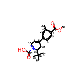 COC(=O)c1ccc(C2=CCN(C(=O)O)C(C(C)(C)C)C2)cc1C